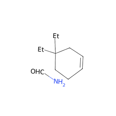 CCC1(CC)CC=CCC1.NC=O